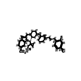 N#CCC1(Cn2c(CN3CCC(Oc4cccc(CSCc5ccc(Cl)cc5F)n4)CC3)nc3ccc(C(=O)O)cc32)CC1